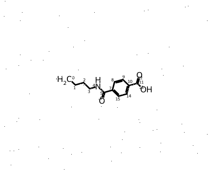 [CH2]CCCNC(=O)c1ccc(C(=O)O)cc1